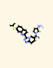 CC(C)Sc1ccc2ccc(-c3nnc4ccc([C@H](C)N5CC[C@H](N)C5)cn34)nc2c1